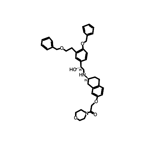 O=C(COc1ccc2c(c1)C[C@@H](NC[C@H](O)c1ccc(OCc3ccccc3)c(CCOCc3ccccc3)c1)CC2)N1CCOCC1